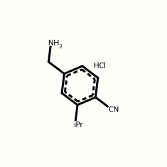 CC(C)c1cc(CN)ccc1C#N.Cl